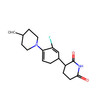 O=CC1CCN(C2=CCC(C3CCC(=O)NC3=O)C=C2F)CC1